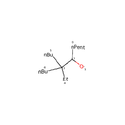 CCCCCC([O])C(CC)(CCCC)CCCC